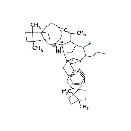 CC1CC2CC[C@@H](CC34CCC3(CC2)C2(C)CCC24C)[C@H]2C3CC(C(F)C(CCI)C45CC3C4(Cc3ccccc3)CCC3CCC4(CCC5C3)CCC3(C)CCC34C)C12